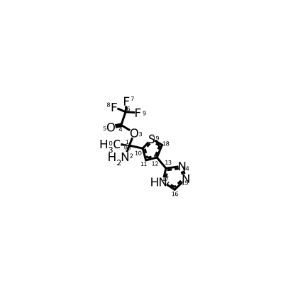 C[C@@](N)(OC(=O)C(F)(F)F)c1cc(-c2nnc[nH]2)cs1